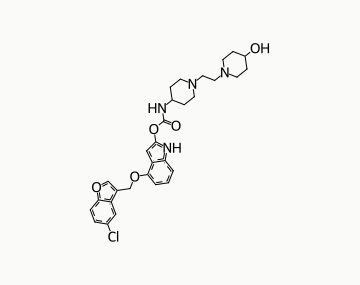 O=C(NC1CCN(CCN2CCC(O)CC2)CC1)Oc1cc2c(OCc3coc4ccc(Cl)cc34)cccc2[nH]1